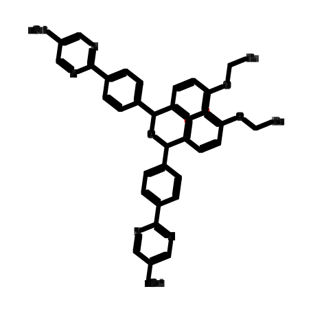 CCCCCCCCc1cnc(-c2ccc(C(OC(c3ccc(OCC(C)CC)cc3)c3ccc(-c4ncc(CCCCCCCC)cn4)cc3)c3ccc(OCC(C)CC)cc3)cc2)nc1